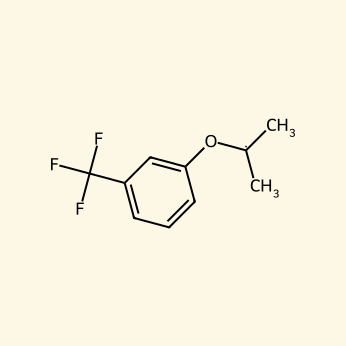 C[C](C)Oc1cccc(C(F)(F)F)c1